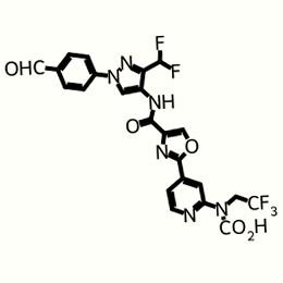 O=Cc1ccc(-n2cc(NC(=O)c3coc(-c4ccnc(N(CC(F)(F)F)C(=O)O)c4)n3)c(C(F)F)n2)cc1